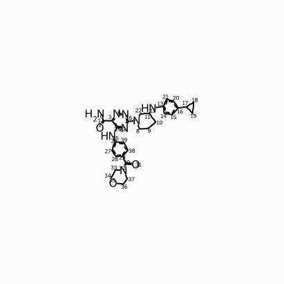 NC(=O)c1nnc(N2CCCC(Nc3ccc(C4CC4)cc3)C2)nc1Nc1ccc(C(=O)N2CCOCC2)cc1